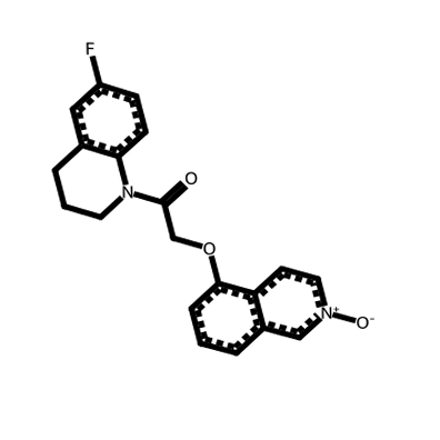 O=C(COc1cccc2c[n+]([O-])ccc12)N1CCCc2cc(F)ccc21